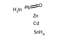 [Cd].[InH3].[O]=[Pb].[SnH4].[Zn]